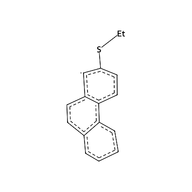 CCSc1[c]c2ccc3ccccc3c2cc1